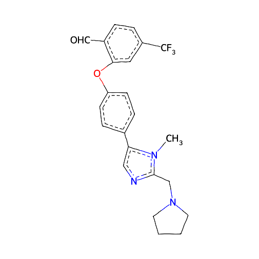 Cn1c(-c2ccc(Oc3cc(C(F)(F)F)ccc3C=O)cc2)cnc1CN1CCCC1